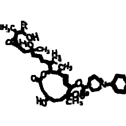 CCC(O)C(C)C1OC1CC(C)(O)/C=C/C=C(\C)C1OC(=O)CC(O)CCC(C)(OC)C(OC(=O)N2CCCN(C3CCCCC3)CC2)/C=C/C1C